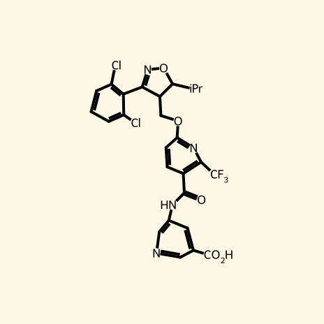 CC(C)C1ON=C(c2c(Cl)cccc2Cl)C1COc1ccc(C(=O)Nc2cncc(C(=O)O)c2)c(C(F)(F)F)n1